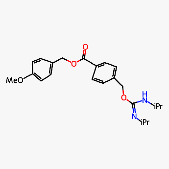 COc1ccc(COC(=O)c2ccc(COC(=NC(C)C)NC(C)C)cc2)cc1